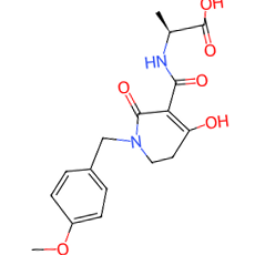 COc1ccc(CN2CCC(O)=C(C(=O)N[C@@H](C)C(=O)O)C2=O)cc1